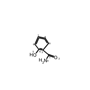 NC(=O)C1=C(O)C=C=C=C1